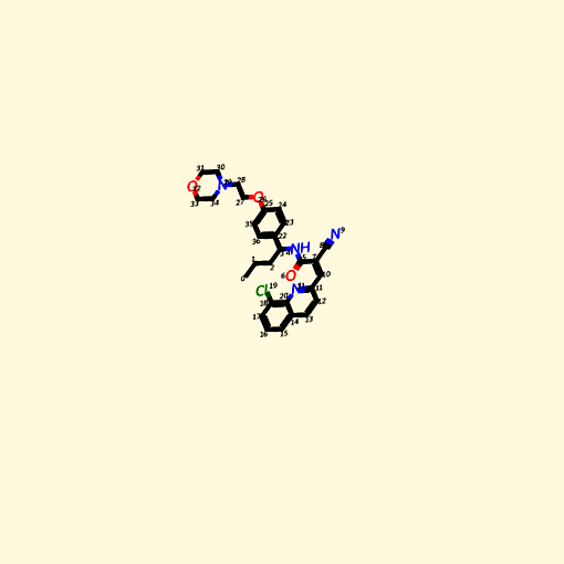 CCCC(NC(=O)C(C#N)=Cc1ccc2cccc(Cl)c2n1)c1ccc(OCCN2CCOCC2)cc1